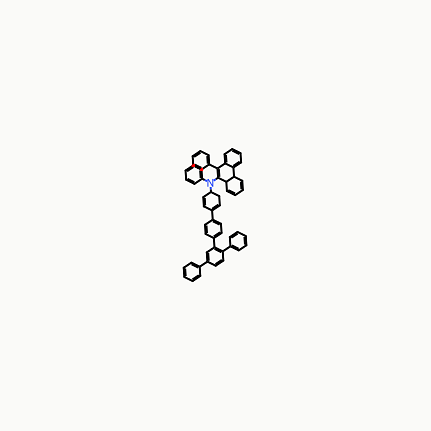 C1=CC2C(N(c3ccccc3)C3C=CC(c4ccc(-c5cc(-c6ccccc6)ccc5-c5ccccc5)cc4)=CC3)=C(c3ccccc3)c3ccccc3C2C=C1